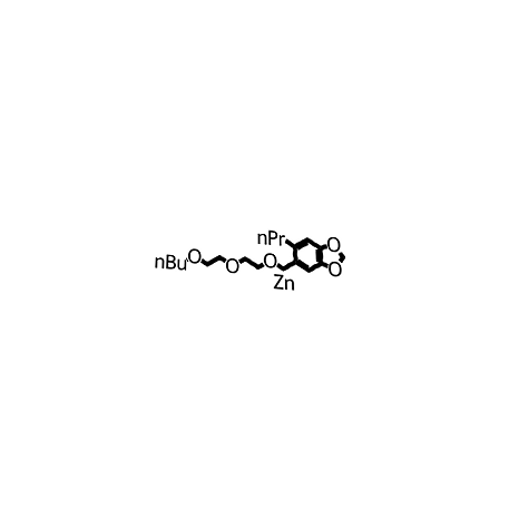 CCCCOCCOCCOCc1cc2c(cc1CCC)OCO2.[Zn]